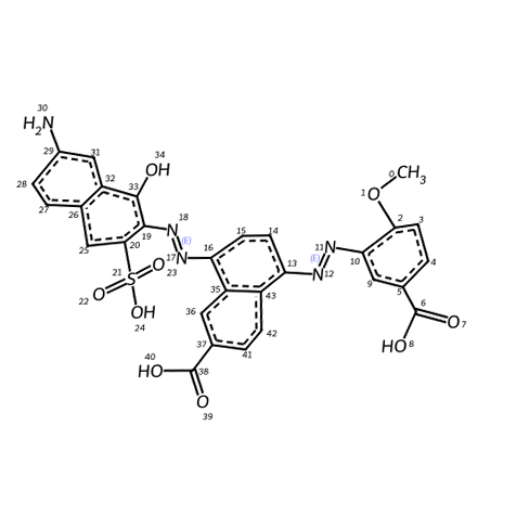 COc1ccc(C(=O)O)cc1/N=N/c1ccc(/N=N/c2c(S(=O)(=O)O)cc3ccc(N)cc3c2O)c2cc(C(=O)O)ccc12